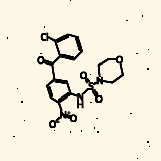 O=C(c1ccc([N+](=O)[O-])c(NS(=O)(=O)N2CCOCC2)c1)c1ccccc1Cl